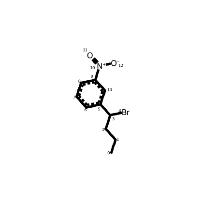 CCCC(Br)c1cccc([N+](=O)[O-])c1